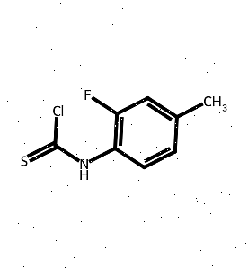 Cc1ccc(NC(=S)Cl)c(F)c1